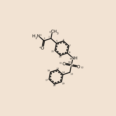 CC(C(N)=O)c1ccc(NS(=O)(=O)Cc2ccccc2)cc1